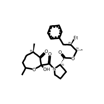 CC[C@H](Cc1ccccc1)[C@H](C)OC(=O)[C@@H]1CCCN1C(=O)C1(O)OC(C)CC[C@@H](C)C1=O